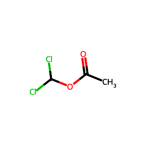 CC(=O)O[C](Cl)Cl